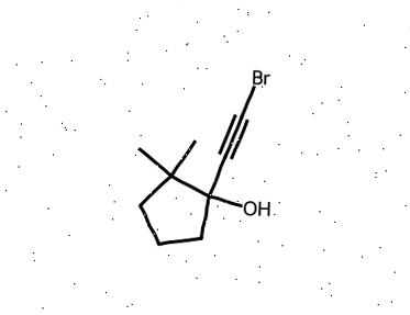 CC1(C)CCCC1(O)C#CBr